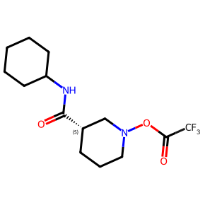 O=C(NC1CCCCC1)[C@H]1CCCN(OC(=O)C(F)(F)F)C1